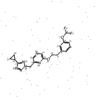 FC(F)Oc1cccc(CCOc2cncc(Cn3cnc(C4CC4)n3)n2)c1